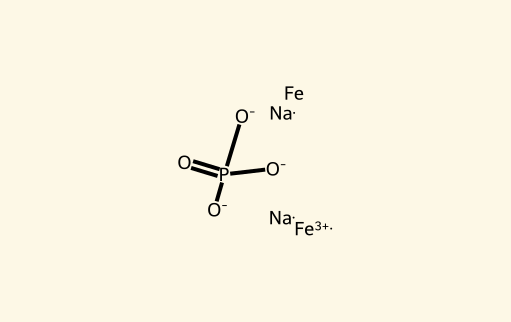 O=P([O-])([O-])[O-].[Fe+3].[Fe].[Na].[Na]